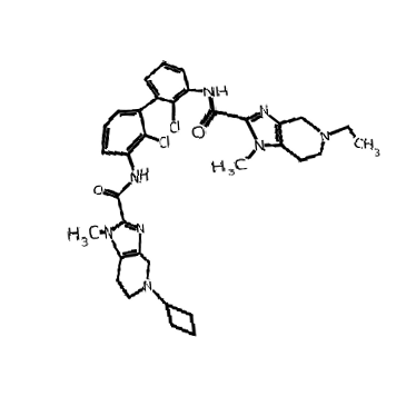 CCN1CCc2c(nc(C(=O)Nc3cccc(-c4cccc(NC(=O)c5nc6c(n5C)CCN(C5CCC5)C6)c4Cl)c3Cl)n2C)C1